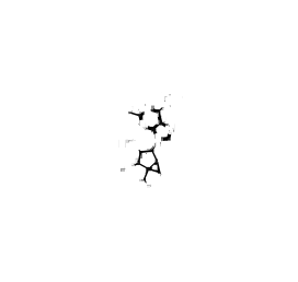 CNc1nc(Cl)nc2c1ncn2C1C(O)C(O)C2(CO)CC12